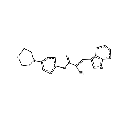 NC(=Cc1c[nH]c2ccccc12)C(=O)Nc1ccc(N2CCOCC2)cc1